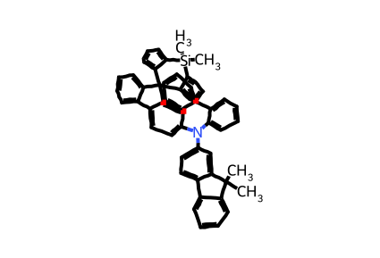 CC1(C)c2ccccc2-c2ccc(N(c3ccc4c(c3)C3(c5ccccc5-4)c4ccccc4[Si](C)(C)c4ccccc43)c3ccccc3-c3ccccc3)cc21